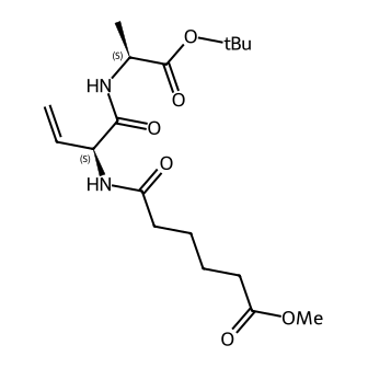 C=C[C@H](NC(=O)CCCCC(=O)OC)C(=O)N[C@@H](C)C(=O)OC(C)(C)C